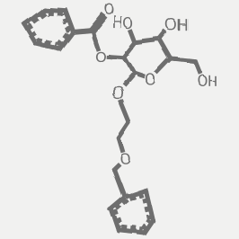 O=C(OC1C(OCCOCc2ccccc2)OC(CO)C(O)C1O)c1ccccc1